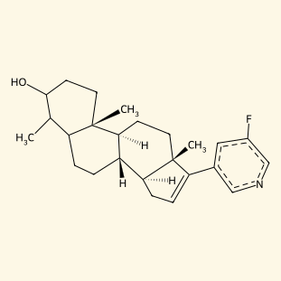 CC1C(O)CC[C@@]2(C)C1CC[C@@H]1[C@@H]2CC[C@]2(C)C(c3cncc(F)c3)=CC[C@@H]12